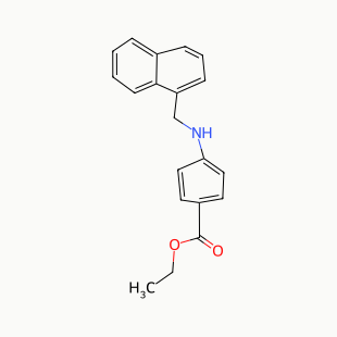 CCOC(=O)c1ccc(NCc2cccc3ccccc23)cc1